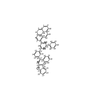 C1=CC2=CCc3ccc(-c4cc(-c5cccc(-c6nc7oc8ccccc8c7c7ccccc67)c5)nc(-c5ccccc5)n4)c4c3C2C(=C1)C=C4